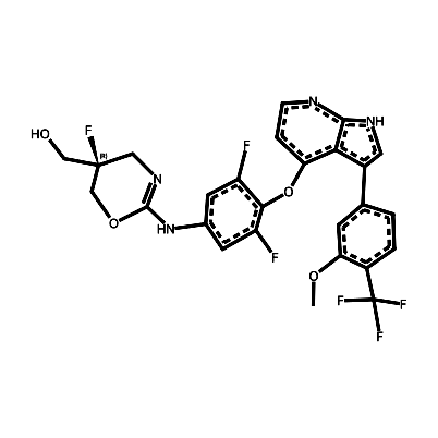 COc1cc(-c2c[nH]c3nccc(Oc4c(F)cc(NC5=NC[C@@](F)(CO)CO5)cc4F)c23)ccc1C(F)(F)F